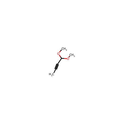 CC#CC(OC)OC